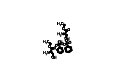 CCOC(=O)C(N)CO.CCOC(=O)C(N)CO.CS(=O)(=O)c1ccccc1.CS(=O)(=O)c1ccccc1